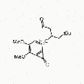 CC(CP=O)CC(C)(C)C.COc1ccc2c(=O)c2c1OC